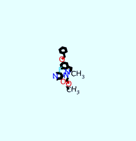 CCOC(=O)CN(c1ccncc1F)n1c(C)cc2cc(OCc3ccccc3)ccc21